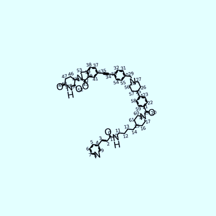 O=C(/C=C/c1cccnc1)NCCCCC1CCN(C(=O)c2ccc(C3CCN(Cc4ccc(C#Cc5ccc6c(c5)C(=O)N(C5CCC(=O)NC5=O)C6)cc4)CC3)cc2)CC1